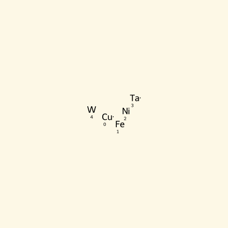 [Cu].[Fe].[Ni].[Ta].[W]